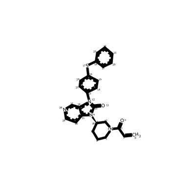 C=CC(=O)N1CCC[C@@H](n2c(=O)n(-c3ccc(Sc4ccccc4)cc3)c3cnccc32)C1